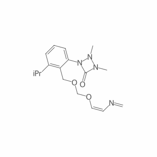 C=N/C=C\OCOCc1c(C(C)C)cccc1-n1c(=O)n(C)n1C